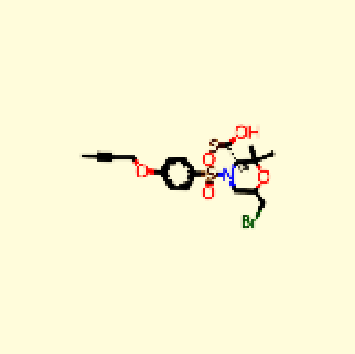 CC#CCOc1ccc(S(=O)(=O)N2CC(CBr)OC(C)(C)[C@H]2C(O)=S)cc1